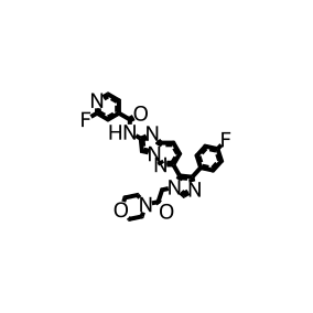 O=C(Nc1cn2nc(-c3c(-c4ccc(F)cc4)ncn3CC(=O)N3CCOCC3)ccc2n1)c1ccnc(F)c1